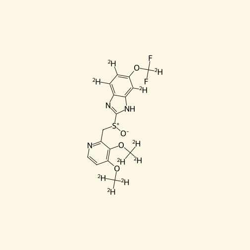 [2H]c1c(OC([2H])(F)F)c([2H])c2[nH]c([S+]([O-])Cc3nccc(OC([2H])([2H])[2H])c3OC([2H])([2H])[2H])nc2c1[2H]